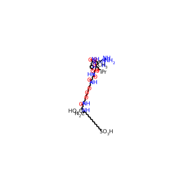 C=C(CCCCCCCCCCCCCCCS(=O)(=O)O)N[C@@H](CCC(=O)NCCCOCCOCCOCCCNC(=O)CCC(=O)NCCCC[C@H](CC(=O)CC(C)C)C(=O)C(C)[C@@H](CCCNC(=N)N)C(=O)N[C@@H](Cc1ccc(O)cc1)C(N)=O)C(=O)O